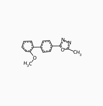 COc1ccccc1-c1ccc(-c2nnc(C)o2)cc1